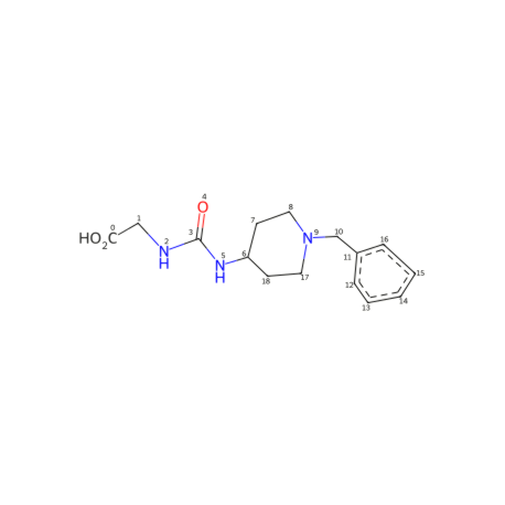 O=C(O)CNC(=O)NC1CCN(Cc2ccccc2)CC1